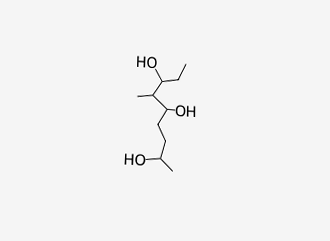 CCC(O)C(C)C(O)CCC(C)O